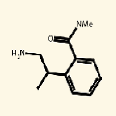 CNC(=O)c1ccccc1C(C)CN